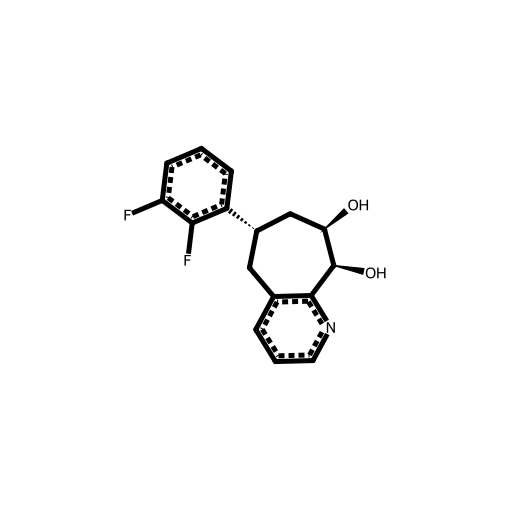 O[C@@H]1C[C@@H](c2cccc(F)c2F)Cc2cccnc2[C@@H]1O